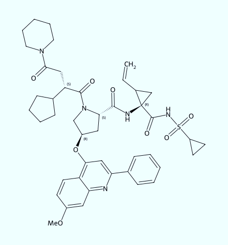 C=CC1C[C@]1(NC(=O)[C@@H]1C[C@@H](Oc2cc(-c3ccccc3)nc3cc(OC)ccc23)CN1C(=O)[C@@H](CC(=O)N1CCCCC1)C1CCCC1)C(=O)NS(=O)(=O)C1CC1